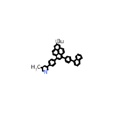 CC1C=C(c2ccc(-c3cc(-c4ccc(-c5cccc6ccccc56)cc4)c4ccc5cc(C(C)(C)C)cc6ccc3c4c65)cc2)C=NC1